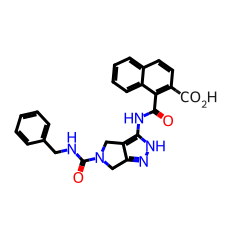 O=C(O)c1ccc2ccccc2c1C(=O)Nc1[nH]nc2c1CN(C(=O)NCc1ccccc1)C2